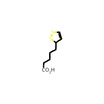 O=C(O)CCCCC1C=CSS1